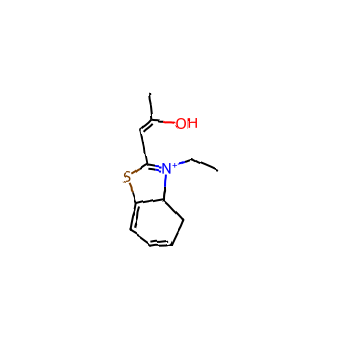 CC[N+]1=C(/C=C(/C)O)SC2=CC=CCC21